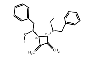 C=C1C(=C)[C@@H](N(Cc2ccccc2)SI)[C@@H]1N(Cc1ccccc1)SI